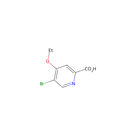 CCOc1cc(C(=O)O)ncc1Br